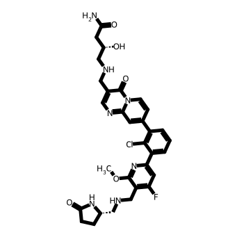 COc1nc(-c2cccc(-c3ccn4c(=O)c(CNC[C@@H](O)CC(N)=O)cnc4c3)c2Cl)cc(F)c1CNC[C@@H]1CCC(=O)N1